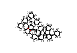 c1ccc(-c2ccc(-c3ccccc3N(c3ccc4c(c3)C3(c5ccccc5-c5ccccc53)c3ccccc3-4)c3cccc4c3-c3ccccc3C43c4ccccc4-c4c(-c5ccccc5)cccc43)cc2)cc1